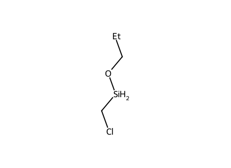 CCCO[SiH2]CCl